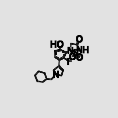 O=C1CN(c2c(O)ccc(C3=CCN(CC4CCCCC4)C3)c2F)S(=O)(=O)N1